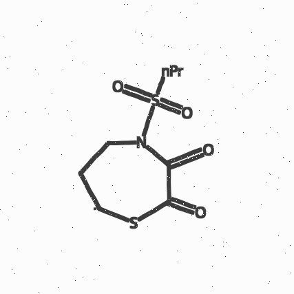 CCCS(=O)(=O)N1CC[CH]SC(=O)C1=O